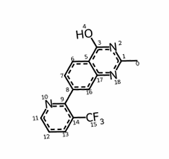 Cc1nc(O)c2ccc(-c3ncccc3C(F)(F)F)cc2n1